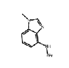 CCCNc1cccc2c1ncn2C